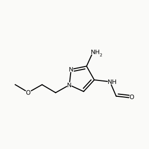 COCCn1cc(NC=O)c(N)n1